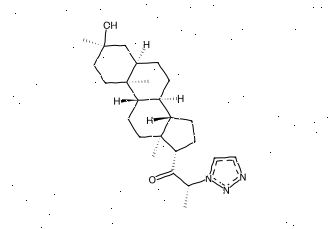 C[C@H](C(=O)[C@H]1CC[C@H]2[C@@H]3CC[C@@H]4C[C@](C)(O)CC[C@]4(C)[C@H]3CC[C@]12C)n1ccnn1